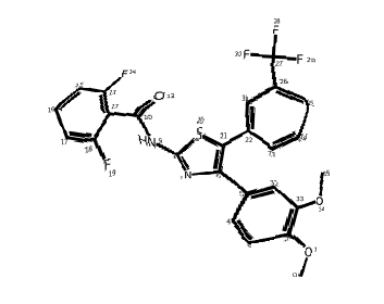 COc1ccc(-c2nc(NC(=O)c3c(F)cccc3F)sc2-c2cccc(C(F)(F)F)c2)cc1OC